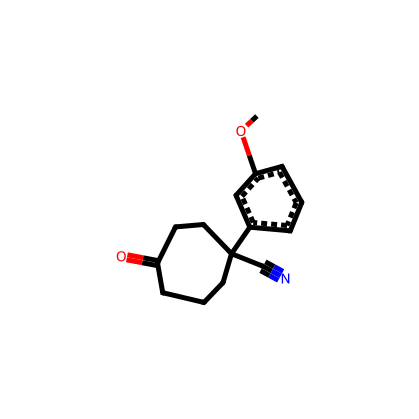 COc1cccc(C2(C#N)CCCC(=O)CC2)c1